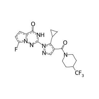 O=C(c1cnn(-c2nn3c(F)ccc3c(=O)[nH]2)c1C1CC1)N1CCC(C(F)(F)F)CC1